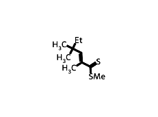 CCC(C)(C)/C=C(\C)C(=S)SC